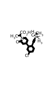 CC(C(=O)O)n1ccc(-c2cc(Cl)ccc2C#C[Si](C)(C)C)cc1=O